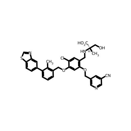 Cc1c(COc2cc(OCc3cncc(C#N)c3)c(CN[C@](C)(CO)C(=O)O)cc2Cl)cccc1-c1ccc2scnc2c1